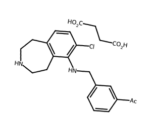 CC(=O)c1cccc(CNc2c(Cl)ccc3c2CCNCC3)c1.O=C(O)CCC(=O)O